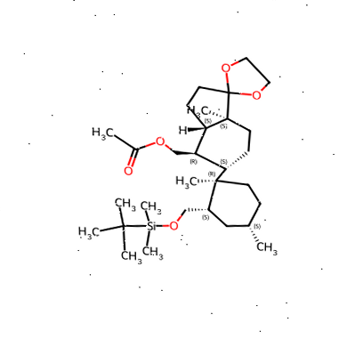 CC(=O)OC[C@@H]1[C@@H]([C@@]2(C)CC[C@H](C)C[C@@H]2CO[Si](C)(C)C(C)(C)C)CC[C@@]2(C)[C@H]1CCC21OCCO1